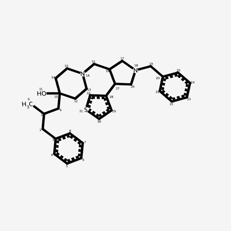 CC(Cc1ccccc1)CC1(O)CCN(CC2CN(Cc3ccccc3)CC2c2ccsc2)CC1